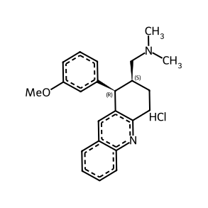 COc1cccc([C@@H]2c3cc4ccccc4nc3CC[C@@H]2CN(C)C)c1.Cl